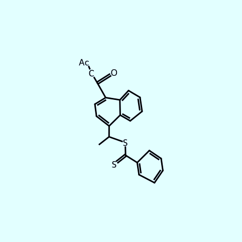 CC(=O)CC(=O)c1ccc(C(C)SC(=S)c2ccccc2)c2ccccc12